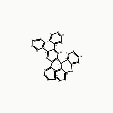 c1ccc(-c2nc(-c3ccccc3)c(N3c4ccccc4Oc4ccccc43)nc2-c2ccccc2)cc1